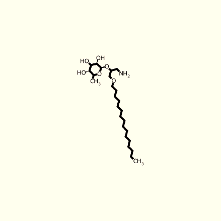 CCCCCCCCCCCCCCCCOCC(CN)O[C@H]1OC(C)[C@H](O)C(O)[C@@H]1O